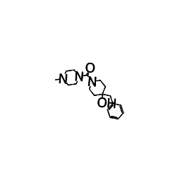 CN1CCN(C(=O)N2CCC(O)(Cc3ccccc3)CC2)CC1